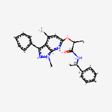 CC(Oc1cc(C(F)(F)F)c2c(-c3ccccc3)nn(C)c2n1)C(=O)NC(C)c1ccccc1